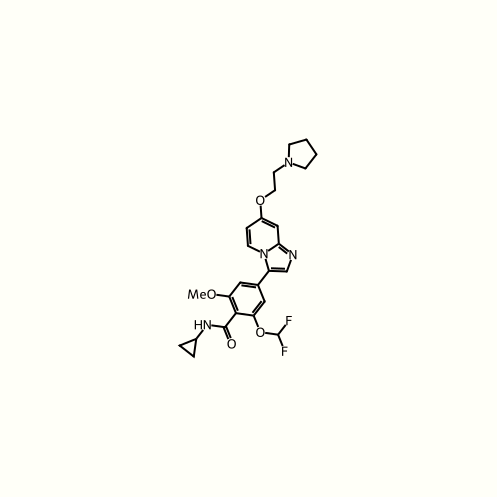 COc1cc(-c2cnc3cc(OCCN4CCCC4)ccn23)cc(OC(F)F)c1C(=O)NC1CC1